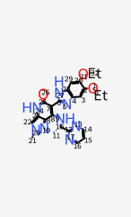 CCOc1cc2nc(-c3c(N[C@@H](C)c4ncccn4)c4nn(C)cc4[nH]c3=O)[nH]c2cc1OCC